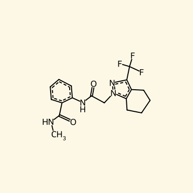 CNC(=O)c1ccccc1NC(=O)Cn1nc(C(F)(F)F)c2c1CCCC2